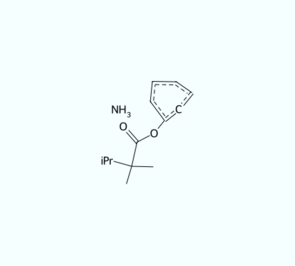 CC(C)C(C)(C)C(=O)Oc1ccccc1.N